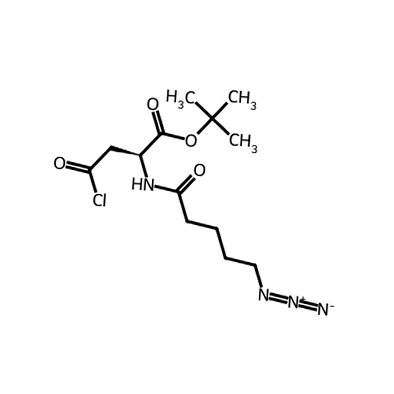 CC(C)(C)OC(=O)[C@H](CC(=O)Cl)NC(=O)CCCCN=[N+]=[N-]